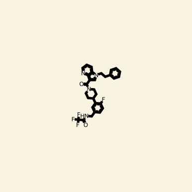 O=C(c1cn(CCc2ccccc2)c2cccnc12)N1CCC(c2cc(CNC(=O)C(F)(F)F)ccc2F)CC1